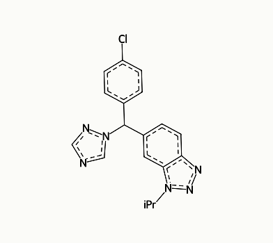 CC(C)n1nnc2ccc(C(c3ccc(Cl)cc3)n3cncn3)cc21